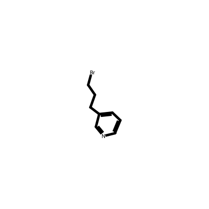 BrCCCc1cc[c]nc1